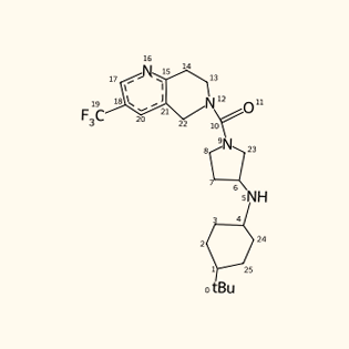 CC(C)(C)C1CCC(NC2CCN(C(=O)N3CCc4ncc(C(F)(F)F)cc4C3)C2)CC1